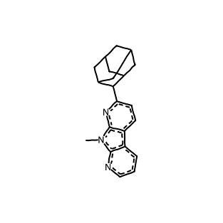 Cn1c2ncccc2c2ccc(C3C4CC5CC(C4)CC3C5)nc21